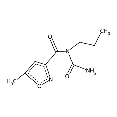 CCCN(C(N)=O)C(=O)c1cc(C)on1